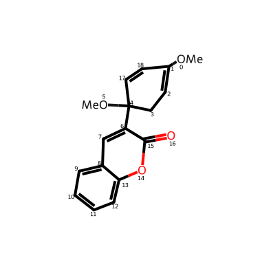 COC1=CCC(OC)(c2cc3ccccc3oc2=O)C=C1